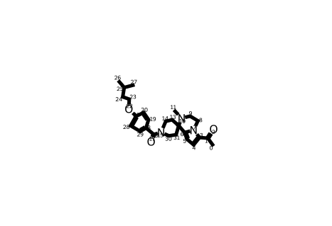 CC(=O)c1ccc2n1CCN(C)C21CCN(C(=O)c2ccc(OCCC(C)C)cc2)CC1